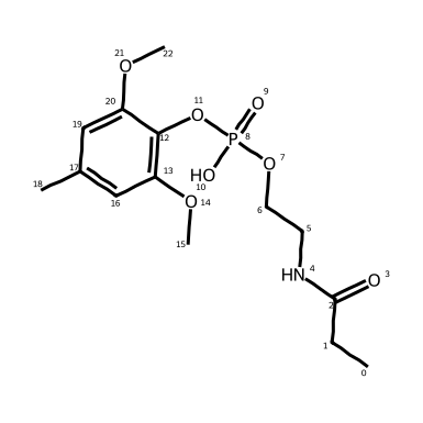 CCC(=O)NCCOP(=O)(O)Oc1c(OC)cc(C)cc1OC